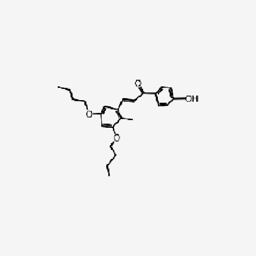 CCCCOc1cc(C=CC(=O)c2ccc(O)cc2)c(C)c(OCCCC)c1